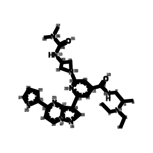 CCN(CC)C(C)CNC(=O)c1cc(-c2cnn3ccc(-c4cccs4)nc23)nc(N2CC(NC(=O)N(C)C)C2)c1